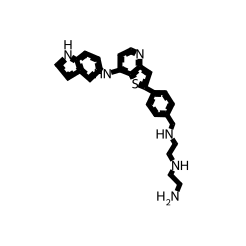 NCCNCCNCc1ccc(-c2cc3nccc(Nc4ccc5[nH]ccc5c4)c3s2)cc1